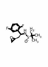 CC(C)(C)[S@+]([O-])N[C@@H](C[C@H]1CO1)c1cc(F)ccc1F